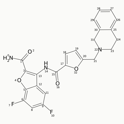 NC(=O)c1oc2c(F)cc(F)cc2c1NC(=O)c1ccc(CN2CCc3ccccc3C2)o1